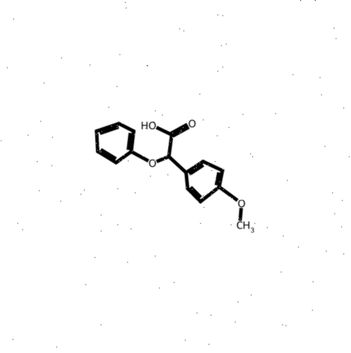 COc1ccc(C(Oc2ccccc2)C(=O)O)cc1